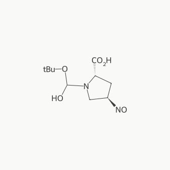 CC(C)(C)OC(O)N1C[C@H](N=O)C[C@H]1C(=O)O